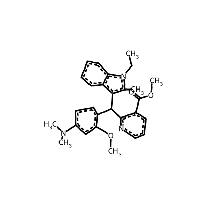 CCn1c(C)c(C(c2ccc(N(C)C)cc2OC)c2ncccc2C(=O)OC)c2ccccc21